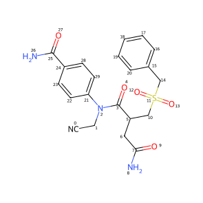 N#CCN(C(=O)C(CC(N)=O)CS(=O)(=O)Cc1ccccc1)c1ccc(C(N)=O)cc1